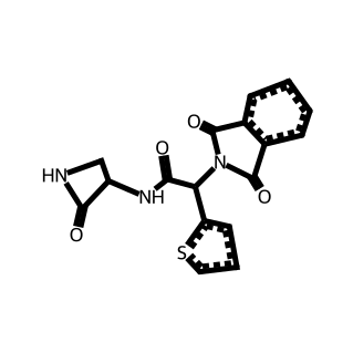 O=C1NCC1NC(=O)C(c1cccs1)N1C(=O)c2ccccc2C1=O